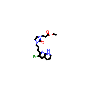 CCOC(=O)CCN1CCN(CCCc2nc3c(cc2Br)CCCN3)C1=O